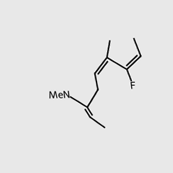 C/C=C(\CC=C(C)/C(F)=C\C)NC